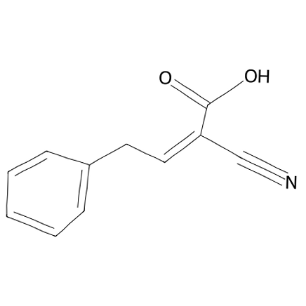 N#CC(=CCc1ccccc1)C(=O)O